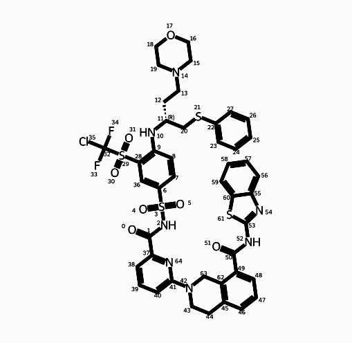 O=C(NS(=O)(=O)c1ccc(N[C@H](CCN2CCOCC2)CSc2ccccc2)c(S(=O)(=O)C(F)(F)Cl)c1)c1cccc(N2CCc3cccc(C(=O)Nc4nc5ccccc5s4)c3C2)n1